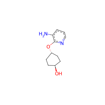 Nc1cccnc1O[C@H]1CC[C@H](O)CC1